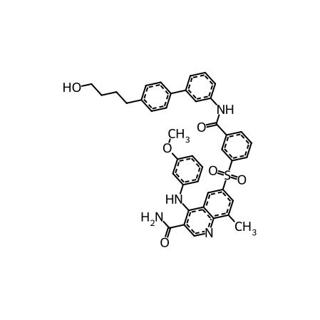 COc1cccc(Nc2c(C(N)=O)cnc3c(C)cc(S(=O)(=O)c4cccc(C(=O)Nc5cccc(-c6ccc(CCCCO)cc6)c5)c4)cc23)c1